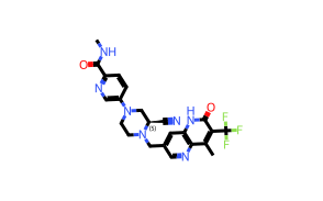 CNC(=O)c1ccc(N2CCN(Cc3cnc4c(C)c(C(F)(F)F)c(=O)[nH]c4c3)[C@H](C#N)C2)cn1